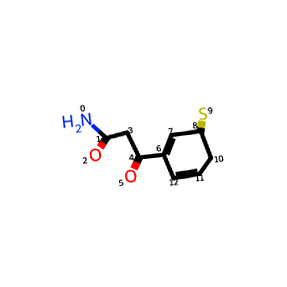 NC(=O)CC(=O)C1=CC(=S)CC=C1